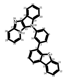 c1cc(-c2cccc3c2sc2ccccc23)cc(-n2c3ccccc3c3nc4ccccn4c32)c1